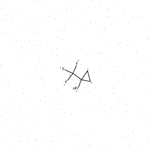 CCCC1(C(F)(F)F)CC1